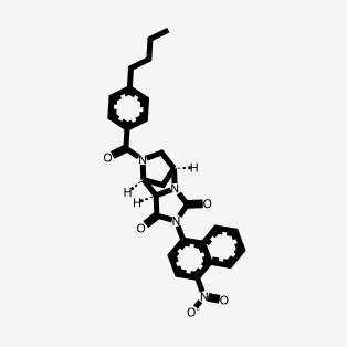 CCCCc1ccc(C(=O)N2C[C@@H]3C[C@H]2[C@@H]2C(=O)N(c4ccc([N+](=O)[O-])c5ccccc45)C(=O)N32)cc1